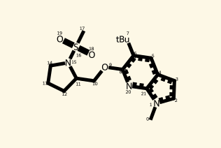 Cn1ccc2cc(C(C)(C)C)c(OCC3CCCN3S(C)(=O)=O)nc21